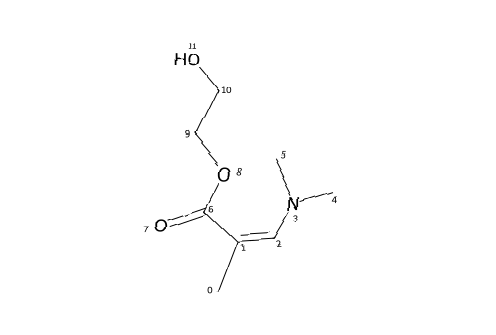 CC(=CN(C)C)C(=O)OCCO